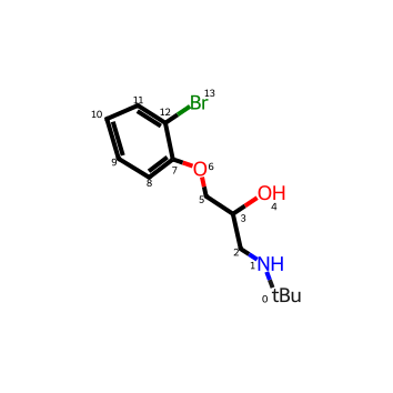 [CH2]C(C)(C)NCC(O)COc1ccccc1Br